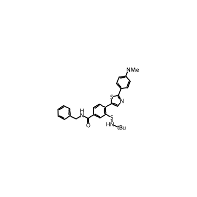 CNc1ccc(-c2ncc(-c3ccc(C(=O)NCc4ccccc4)cc3SNC(C)(C)C)s2)cc1